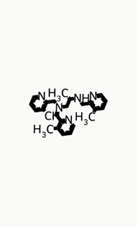 Cc1cccnc1CNC(C)CN(Cc1ncccc1C)Cc1ncccc1C